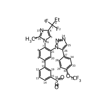 CCC(F)(F)c1cn(-c2ccc(-c3cccc([SH](=O)=O)c3)cc2-n2nncc2-c2ccc(OC(F)(F)F)cc2)c(C)n1